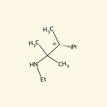 CCNC(C)(C)[C@H](C)C(C)C